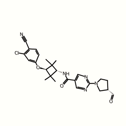 CC1(C)[C@H](NC(=O)c2cnc(N3CC[C@H](C=O)C3)nc2)C(C)(C)[C@H]1Oc1ccc(C#N)c(Cl)c1